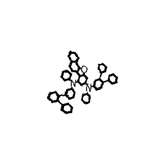 c1ccc(-c2ccccc2-c2cccc(N(c3ccccc3)c3cc(N(c4ccccc4)c4ccc(-c5ccccc5)c(-c5ccccc5)c4)cc4oc5c6ccccc6ccc5c34)c2)cc1